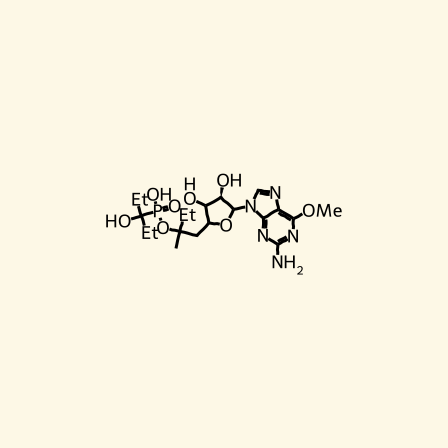 CCC(C)(CC1OC(n2cnc3c(OC)nc(N)nc32)[C@H](O)C1O)OP(=O)(O)C(O)(CC)CC